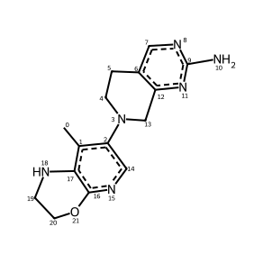 Cc1c(N2CCc3cnc(N)nc3C2)cnc2c1NCCO2